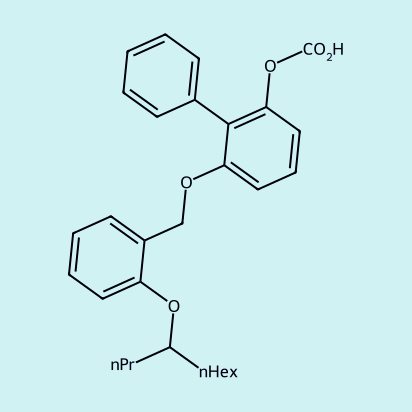 CCCCCCC(CCC)Oc1ccccc1COc1cccc(OC(=O)O)c1-c1ccccc1